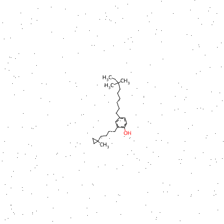 CCC(C)(C)CCCCCCc1ccc(O)c(CCCCC2(C)CC2)c1